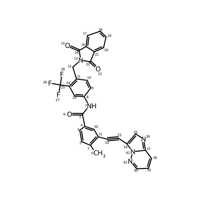 Cc1ccc(C(=O)Nc2ccc(CN3C(=O)c4ccccc4C3=O)c(C(F)(F)F)c2)cc1C#Cc1cnc2cccnn12